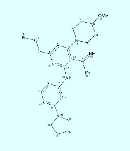 CCOCc1cc(N2CCC(OC)CC2)c(C(=N)C(C)C)c(Nc2ccnc(N3CCCC3)c2)n1